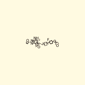 Nc1nc2c(sc(=O)n2CCN2CCN(c3ccc(O[C@H]4CCOC4)cc3F)CC2)c2nc(-c3ccco3)nn12